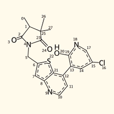 CC1C(=O)N(Cc2cc3nccc(-c4cc(Cl)cnc4O)c3s2)C(=O)C1(C)C